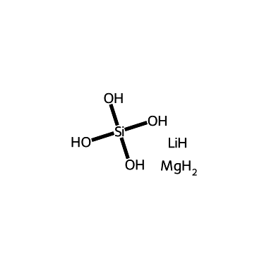 O[Si](O)(O)O.[LiH].[MgH2]